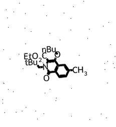 CCCCOc1c(C(=O)OCC)n(CC(C)(C)C)c(=O)c2ccc(C)cc12